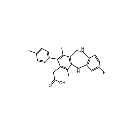 Cc1ccc(-c2c(C)c3c(c(C)c2CC(=O)O)Nc2cc(F)ccc2NC3)cc1